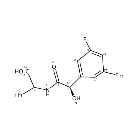 CCCC(NC(=O)[C@H](O)c1cc(F)cc(F)c1)C(=O)O